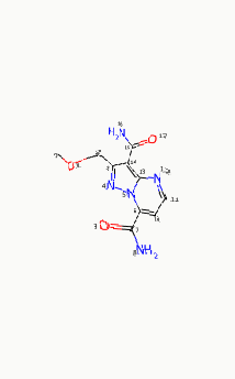 COCc1nn2c(C(N)=O)ccnc2c1C(N)=O